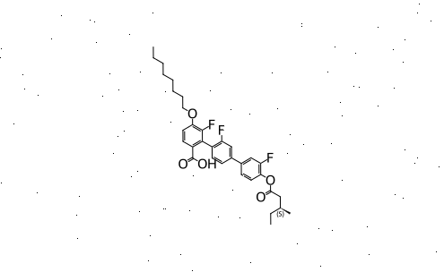 CCCCCCCCOc1ccc(C(=O)O)c(-c2ccc(-c3ccc(OC(=O)C[C@@H](C)CC)c(F)c3)cc2F)c1F